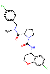 CN(Cc1ccc(Cl)cc1)C(=O)C1CCCN1C(=O)N[C@H]1CCOc2cc(Cl)ccc21